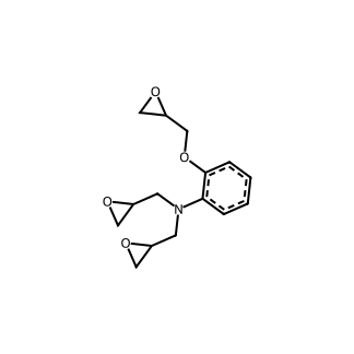 c1ccc(N(CC2CO2)CC2CO2)c(OCC2CO2)c1